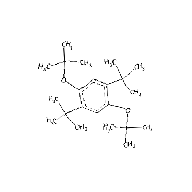 CC(C)(C)Oc1cc(C(C)(C)C)c(OC(C)(C)C)cc1C(C)(C)C